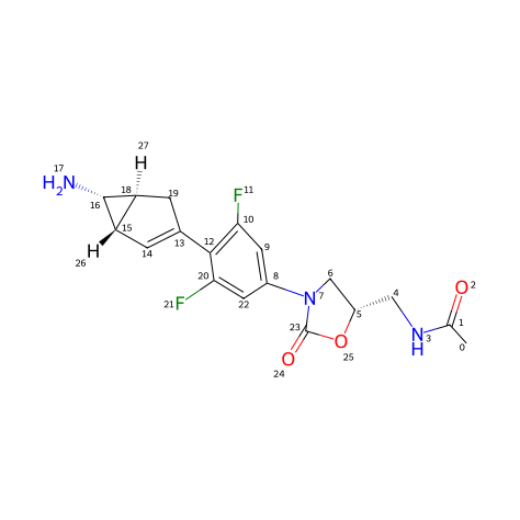 CC(=O)NC[C@H]1CN(c2cc(F)c(C3=C[C@@H]4[C@H](N)[C@H]4C3)c(F)c2)C(=O)O1